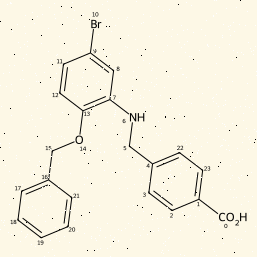 O=C(O)c1ccc(CNc2cc(Br)ccc2OCc2ccccc2)cc1